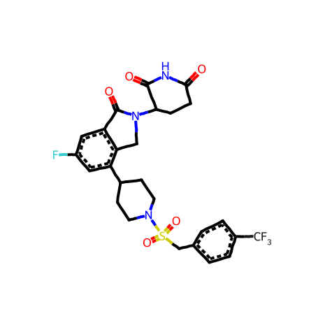 O=C1CCC(N2Cc3c(cc(F)cc3C3CCN(S(=O)(=O)Cc4ccc(C(F)(F)F)cc4)CC3)C2=O)C(=O)N1